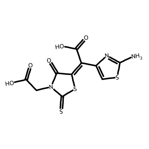 Nc1nc(C(C(=O)O)=C2SC(=S)N(CC(=O)O)C2=O)cs1